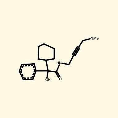 CNCC#CCNC(=O)C(O)(c1ccccc1)C1CCCCC1